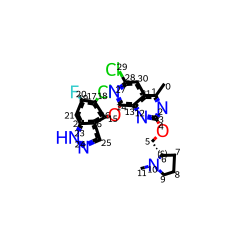 Cc1nc(OC[C@@H]2CCCN2C)nc2c(Oc3c(Cl)c(F)cc4[nH]ncc34)nc(Cl)cc12